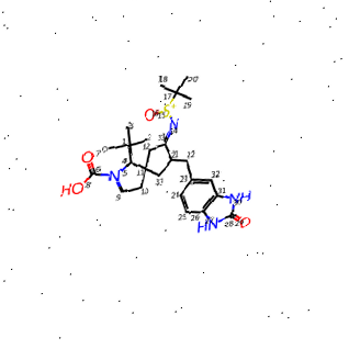 CC(C)(C)C1N(C(=O)O)CCC12CC(=N[S+]([O-])C(C)(C)C)C(Cc1ccc3[nH]c(=O)[nH]c3c1)C2